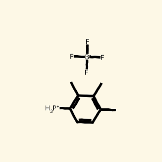 Cc1ccc([PH3+])c(C)c1C.F[B-](F)(F)F